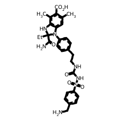 CCC1(C(N)=O)Nc2c(cc(C)c(C(=O)O)c2C)N1c1ccc(CCNC(=O)NS(=O)(=O)c2ccc(CN)cc2)cc1